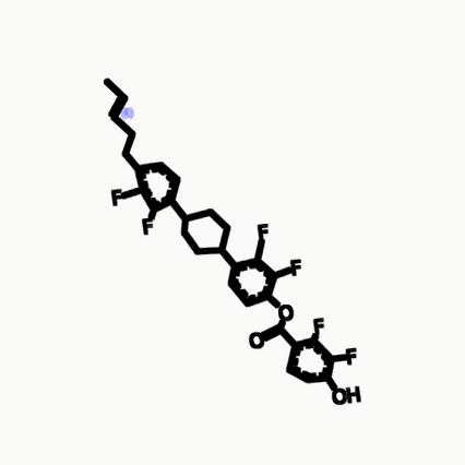 C/C=C/CCc1ccc(C2CCC(c3ccc(OC(=O)c4ccc(O)c(F)c4F)c(F)c3F)CC2)c(F)c1F